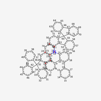 c1ccc(-c2ccccc2-c2c(-c3ccccc3)cccc2N(c2ccc3c(c2)-c2ccccc2C3(c2ccccc2)c2ccccc2)c2cccc3c2-c2ccccc2C32c3ccccc3-c3ccccc32)cc1